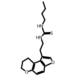 CCCCNC(=S)NCCc1coc2ccc3c(c12)CCCO3